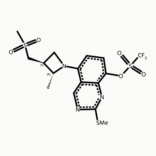 CSc1ncc2c(N3C[C@H](CS(C)(=O)=O)[C@H]3C)ccc(OS(=O)(=O)C(F)(F)F)c2n1